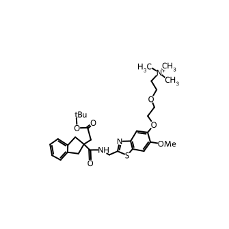 COc1cc2sc(CNC(=O)C3(CC(=O)OC(C)(C)C)Cc4ccccc4C3)nc2cc1OCCOCC[N+](C)(C)C